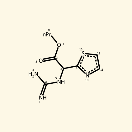 CCCOC(=O)C(NC(=N)N)c1nccs1